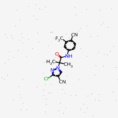 CC(C)(C(=O)Nc1ccc(C#N)c(C(F)(F)F)c1)n1cc(C#N)c(Cl)n1